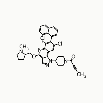 CC#CC(=O)N1CCC(n2ncc3c(OCC4CCCN4C)nc4c(F)c(-c5cccc6cccc(Cl)c56)c(Cl)cc4c32)CC1